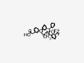 C[C@H](COc1cccc(CC(=O)O)c1)CN(Cc1cccc(C(F)(F)F)c1Cl)CC(c1ccccc1)c1ccccc1